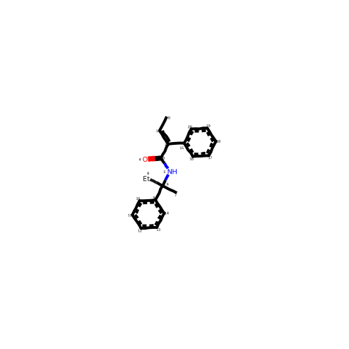 CC=C(C(=O)NC(C)(CC)c1ccccc1)c1ccccc1